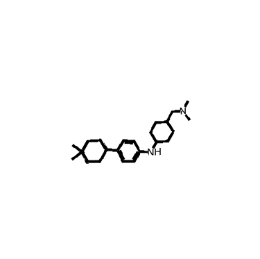 CN(C)CC1CCC(Nc2ccc(C3CCC(C)(C)CC3)cc2)CC1